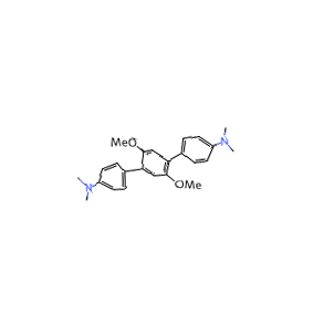 COc1cc(-c2ccc(N(C)C)cc2)c(OC)cc1-c1ccc(N(C)C)cc1